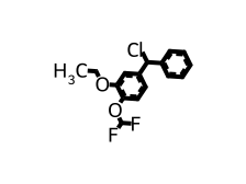 CCOc1cc(C(Cl)c2ccccc2)ccc1OC(F)F